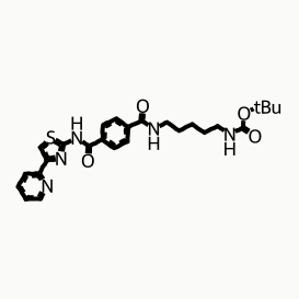 CC(C)(C)OC(=O)NCCCCCNC(=O)c1ccc(C(=O)Nc2nc(-c3ccccn3)cs2)cc1